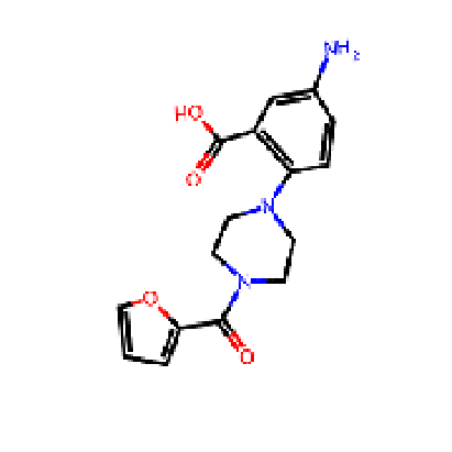 Nc1ccc(N2CCN(C(=O)c3ccco3)CC2)c(C(=O)O)c1